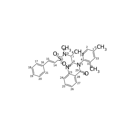 Cc1ccc(-n2c(C(C)N(C)S(=O)(=O)C=Cc3ccccc3)nc3ccccc3c2=O)c(C)c1